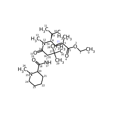 CCOC(=O)/C(C)=C/[C@H](C(C)C)N(C)C(=O)[C@@H](NC(=O)C1CCCCN1C)C(C)(C)C